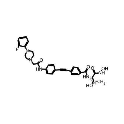 C[C@@H](O)[C@H](NC(=O)c1ccc(C#Cc2ccc(NC(=O)CN3CCN(c4ccccc4F)CC3)cc2)cc1)C(=O)NO